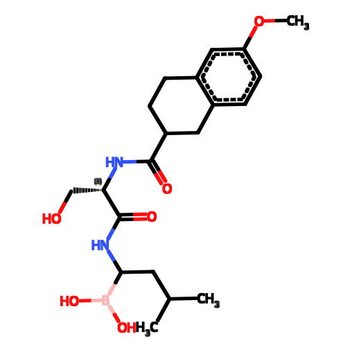 COc1ccc2c(c1)CCC(C(=O)N[C@@H](CO)C(=O)NC(CC(C)C)B(O)O)C2